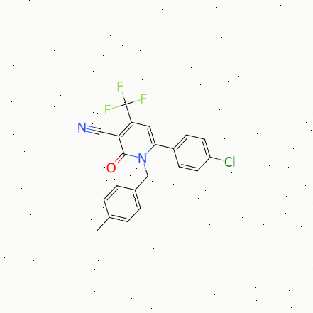 Cc1ccc(Cn2c(-c3ccc(Cl)cc3)cc(C(F)(F)F)c(C#N)c2=O)cc1